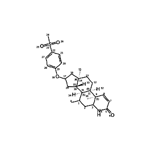 CC1CC2NC(=O)C=C[C@]2(C)[C@@H]2CC[C@]3(C)CC(Oc4ccc(S(C)(=O)=O)cc4)C[C@H]3[C@H]12